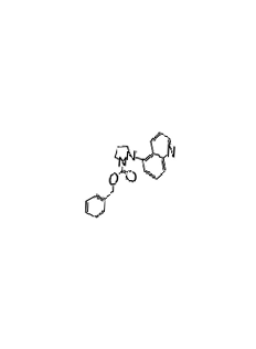 O=C(OCc1ccccc1)N1CCCN1c1cccc2ncccc12